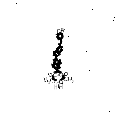 C=C(CO)C(=O)OCC(COC(=O)C(=C)CO)c1ccc2cc(-c3ccc4cc(CCC5CCC(CCC)CC5)ccc4c3)ccc2c1